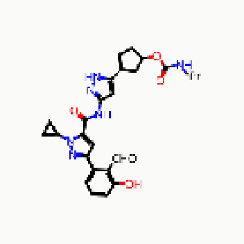 CC(C)NC(=O)O[C@@H]1CC[C@H](c2cc(NC(=O)c3cc(-c4cccc(O)c4C=O)nn3C3CC3)n[nH]2)C1